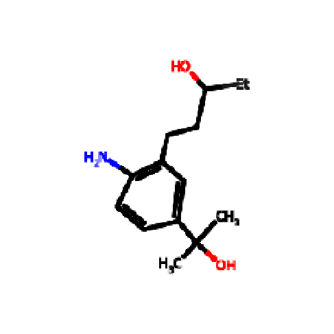 CCC(O)CCc1cc(C(C)(C)O)ccc1N